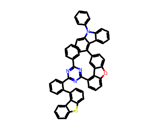 c1ccc(-c2nc(-c3ccccc3-c3cccc4sc5ccccc5c34)nc(-c3cccc4oc5ccc(-c6cccc7c6c6ccccc6n7-c6ccccc6)cc5c34)n2)cc1